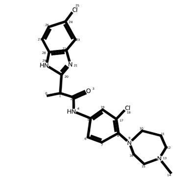 CC(C(=O)Nc1ccc(N2CCCN(C)CC2)c(Cl)c1)c1nc2cc(Cl)ccc2[nH]1